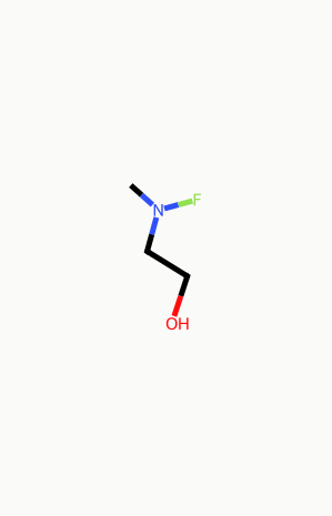 CN(F)CCO